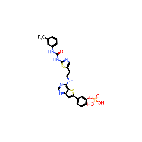 O=C(Nc1cccc(C(F)(F)F)c1)Nc1ncc(CCNc2ncnc3cc(-c4cccc(OP(=O)(O)O)c4)sc23)s1